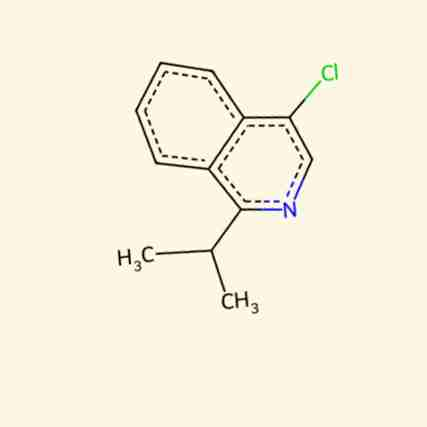 CC(C)c1ncc(Cl)c2ccccc12